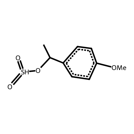 COc1ccc(C(C)O[SH](=O)=O)cc1